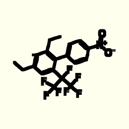 CCc1[c]c(CC)c(-c2ccc([N+](=O)[O-])cc2)c(C(F)(C(F)(F)F)C(F)(F)F)c1